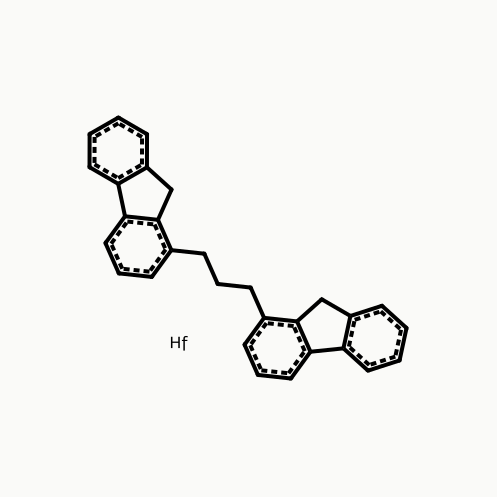 [Hf].c1ccc2c(c1)Cc1c(CCCc3cccc4c3Cc3ccccc3-4)cccc1-2